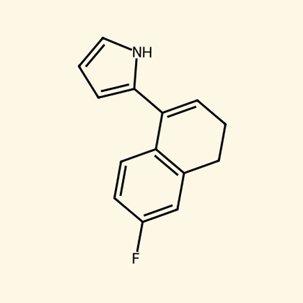 Fc1ccc2c(c1)CCC=C2c1ccc[nH]1